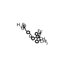 COC(=O)CCc1ccc(COc2cccc(-c3c(-c4ccccc4C(C)C)cnc4c(C(F)(F)F)cccc34)c2)cc1